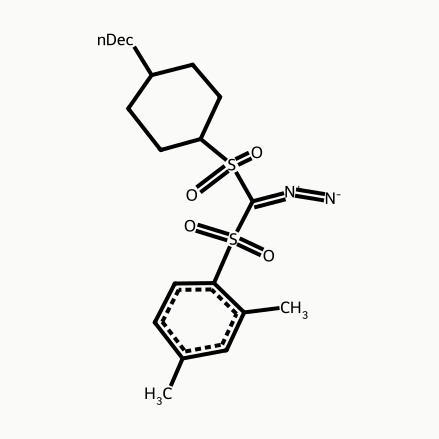 CCCCCCCCCCC1CCC(S(=O)(=O)C(=[N+]=[N-])S(=O)(=O)c2ccc(C)cc2C)CC1